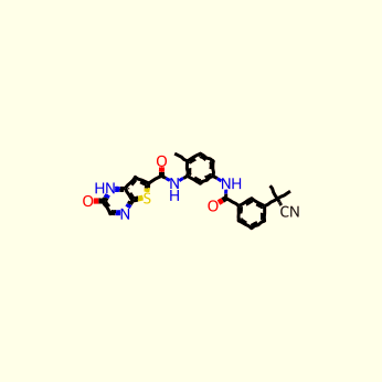 Cc1ccc(NC(=O)c2cccc(C(C)(C)C#N)c2)cc1NC(=O)c1cc2[nH]c(=O)cnc2s1